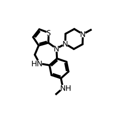 CNc1ccc2c(c1)NCc1ccsc1N2N1CCN(C)CC1